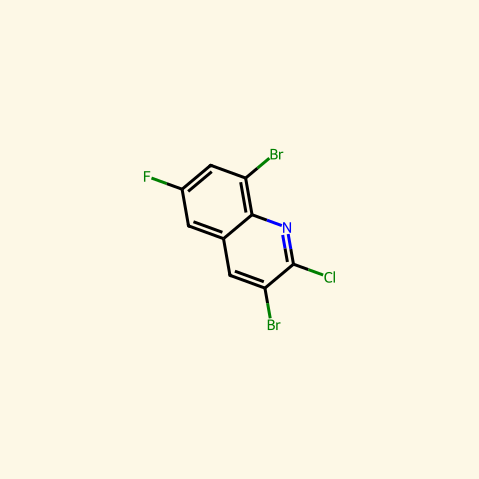 Fc1cc(Br)c2nc(Cl)c(Br)cc2c1